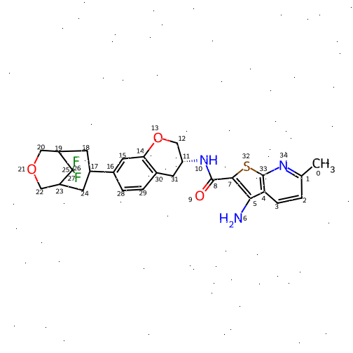 Cc1ccc2c(N)c(C(=O)N[C@H]3COc4cc(C5CC6COCC(C5)C6(F)F)ccc4C3)sc2n1